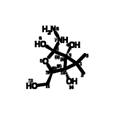 CC1(C)[C@]2(O)[C@@](O)(NN)O[C@H](CO)[C@]12O